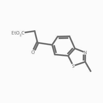 CCOC(=O)CC(=O)c1ccc2nc(C)sc2c1